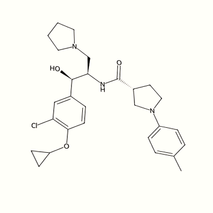 Cc1ccc(N2CC[C@@H](C(=O)N[C@H](CN3CCCC3)[C@H](O)c3ccc(OC4CC4)c(Cl)c3)C2)cc1